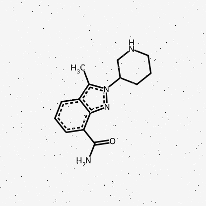 Cc1c2cccc(C(N)=O)c2nn1C1CCCNC1